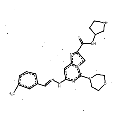 Cc1cccc(/C=N/Nc2cc3nc(C(=O)NC4CCNC4)cn3c(N3CCOCC3)n2)c1